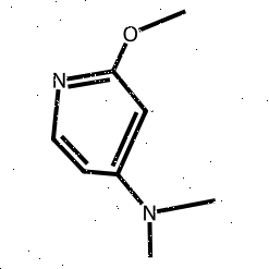 COc1[c]c(N(C)C)ccn1